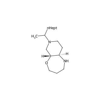 CCCCCCCC(C)N1CC[C@H]2NCCCO[C@@H]2C1